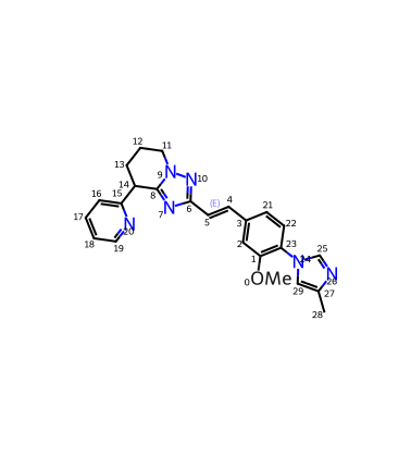 COc1cc(/C=C/c2nc3n(n2)CCCC3c2ccccn2)ccc1-n1cnc(C)c1